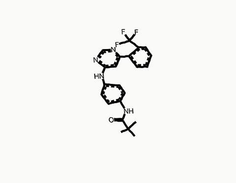 CC(C)(C)C(=O)Nc1ccc(Nc2cc(-c3ccccc3C(F)(F)F)ncn2)cc1